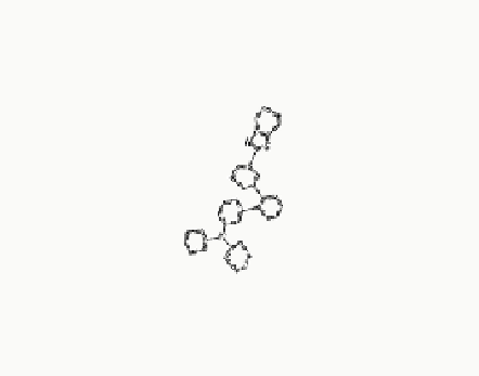 c1ccc(N(c2ccccc2)c2cccc(-c3ccccc3-c3cccc(-c4nc5ccccc5s4)c3)c2)cc1